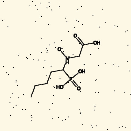 CCCCC([NH+]([O-])CC(=O)O)P(=O)(O)O